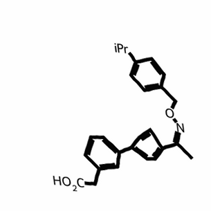 CC(=NOCc1ccc(C(C)C)cc1)c1ccc(-c2cccc(CC(=O)O)c2)cc1